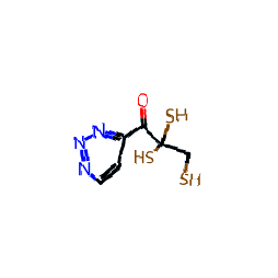 O=C(c1ccnnn1)C(S)(S)CS